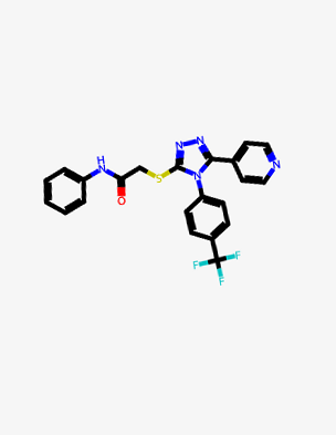 O=C(CSc1nnc(-c2ccncc2)n1-c1ccc(C(F)(F)F)cc1)Nc1ccccc1